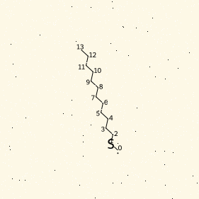 [CH2]SCCCCCCCCCCCC